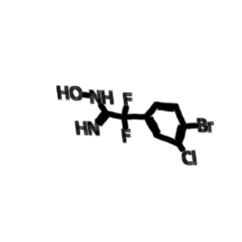 N=C(NO)C(F)(F)c1ccc(Br)c(Cl)c1